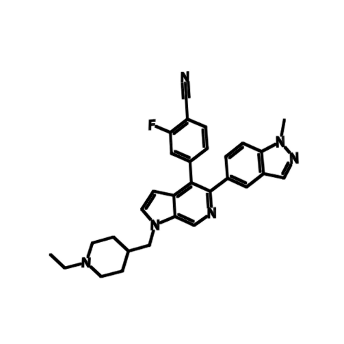 CCN1CCC(Cn2ccc3c(-c4ccc(C#N)c(F)c4)c(-c4ccc5c(cnn5C)c4)ncc32)CC1